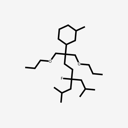 CCCOCC(CCC(F)(CC(C)C)CC(C)C)(COCCC)C1CCCC(C)C1